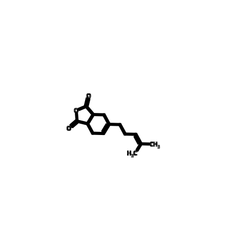 CC(C)=CCCC1=CCC2C(=O)OC(=O)C2C1